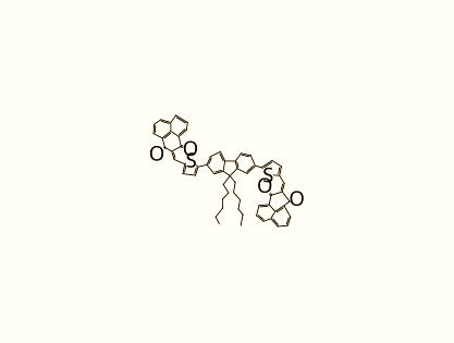 CCCCCCC1(CCCCCC)c2cc(-c3ccc(C=c4c(=O)c5cccc6cccc(c4=O)c65)s3)ccc2-c2ccc(-c3ccc(C=c4c(=O)c5cccc6cccc(c4=O)c65)s3)cc21